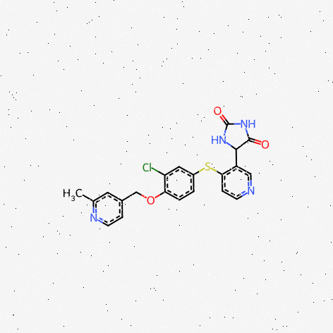 Cc1cc(COc2ccc(Sc3ccncc3C3NC(=O)NC3=O)cc2Cl)ccn1